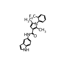 Cc1cc(C(=O)Nc2ccc3[nH]ccc3c2)c(C)n1-c1ccccc1C(F)(F)F